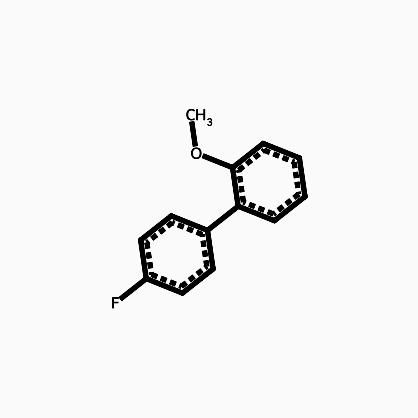 COc1ccccc1-c1ccc(F)cc1